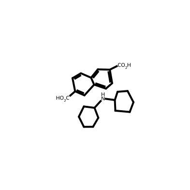 C1CCC(NC2CCCCC2)CC1.O=C(O)c1ccc2cc(C(=O)O)ccc2c1